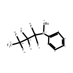 CCCCN(c1ccccc1)C(F)(F)C(F)(F)C(F)(F)C(F)(F)F